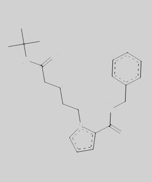 CC(C)(C)OC(=O)CCCCn1cccc1C(=O)OCc1ccccc1